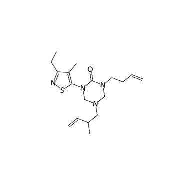 C=CCCN1CN(CC(C)C=C)CN(c2snc(CC)c2C)C1=O